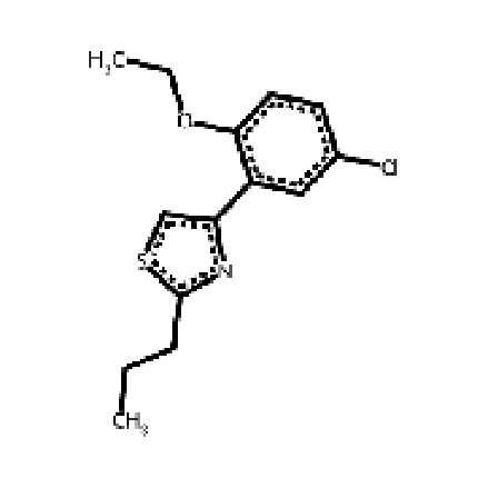 CCCc1nc(-c2cc(Cl)ccc2OCC)cs1